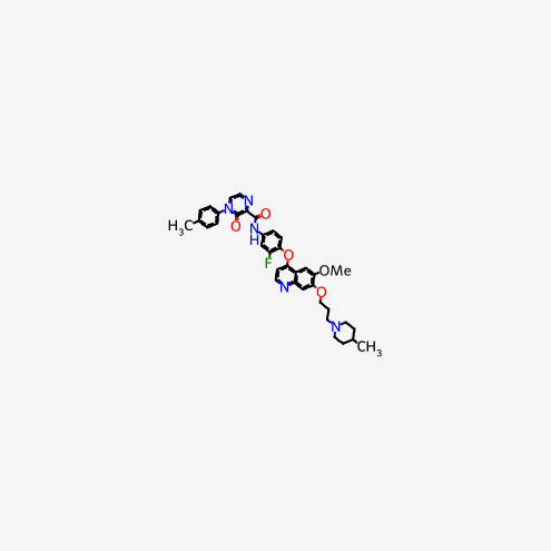 COc1cc2c(Oc3ccc(NC(=O)c4nccn(-c5ccc(C)cc5)c4=O)cc3F)ccnc2cc1OCCCN1CCC(C)CC1